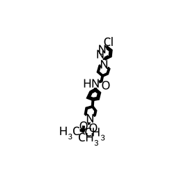 CC(C)(C)OC(=O)N1CCC(c2ccc(NC(=O)C3CCN(c4ccc(Cl)nn4)CC3)cc2)CC1